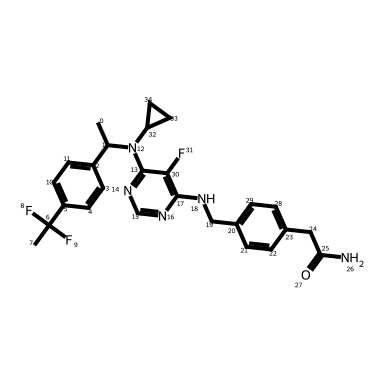 CC(c1ccc(C(C)(F)F)cc1)N(c1ncnc(NCc2ccc(CC(N)=O)cc2)c1F)C1CC1